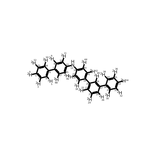 [2H]c1c([2H])c([2H])c(-c2c([2H])c([2H])c(Nc3c([2H])c([2H])c(-c4c([2H])c([2H])c([2H])c(-c5c([2H])c([2H])c([2H])c([2H])c5[2H])c4[2H])c([2H])c3[2H])c([2H])c2[2H])c([2H])c1[2H]